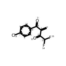 C=C(C(=O)c1ccc(Cl)cc1)C(=O)C(F)F